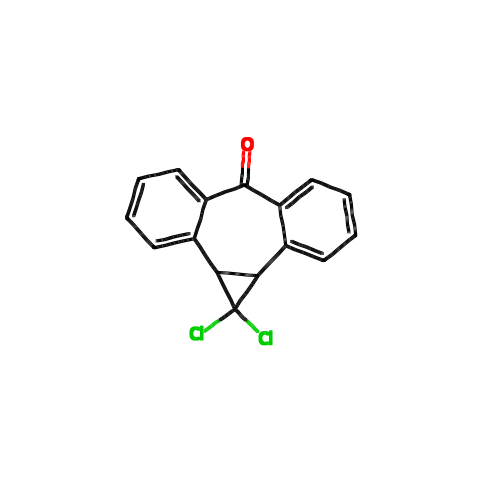 O=C1c2ccccc2C2C(c3ccccc31)C2(Cl)Cl